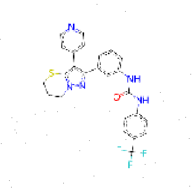 O=C(Nc1ccc(C(F)(F)F)cc1)Nc1cccc(-c2nn3c(c2-c2ccncc2)SCCC3)c1